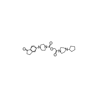 O=C1CCc2cc(N3CCN(C(=O)OCC(=O)N4CCN(C5CCCC5)CC4)CC3)ccc21